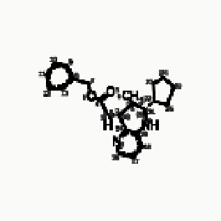 C[C@@H]1[C@@H](NC(=O)OCc2ccccc2)c2ncccc2N[C@H]1C1CCCC1